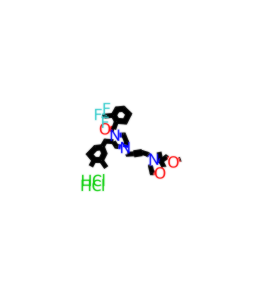 COCC1(C)COCCN1CC#CCN1CCN(C(=O)c2ccccc2C(F)(F)F)C(Cc2ccc(C)c(C)c2)C1.Cl.Cl